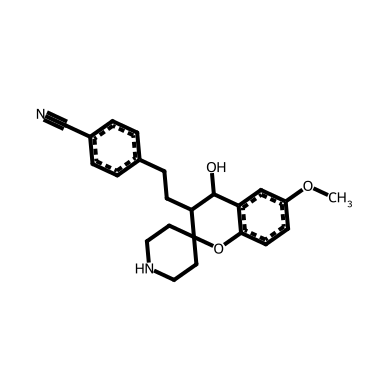 COc1ccc2c(c1)C(O)C(CCc1ccc(C#N)cc1)C1(CCNCC1)O2